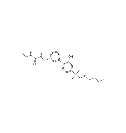 CCCCOCC(C)(C)c1ccc(-c2cccc(CNC(=O)NCC)c2)c(O)c1